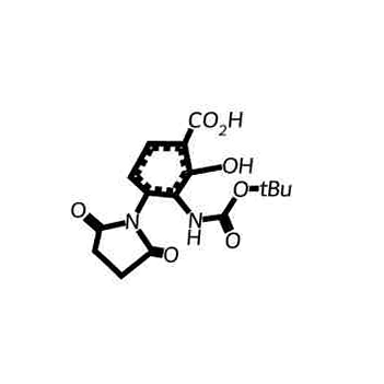 CC(C)(C)OC(=O)Nc1c(N2C(=O)CCC2=O)ccc(C(=O)O)c1O